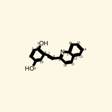 Oc1ccc(O)c(C=Cc2ccc3ccccc3n2)c1